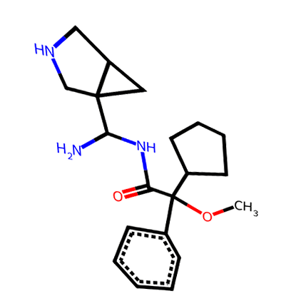 COC(C(=O)NC(N)C12CNCC1C2)(c1ccccc1)C1CCCC1